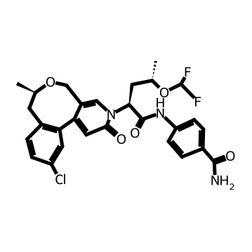 C[C@@H]1Cc2ccc(Cl)cc2-c2cc(=O)n([C@@H](C[C@H](C)OC(F)F)C(=O)Nc3ccc(C(N)=O)cc3)cc2CO1